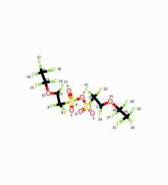 O=S(=O)(OS(=O)(=O)C(F)(F)C(F)OC(F)(F)C(F)(F)F)C(F)(F)C(F)OC(F)(F)C(F)(F)F